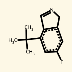 CC(C)(C)c1cc(F)cc2c1C=NC2